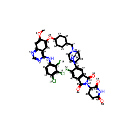 COc1cc2ncnc(Nc3ccc(Cl)c(Cl)c3F)c2cc1OC1CCC(CN2CC3CCC2CN3c2cc3c(cc2F)C(=O)N(C2CCC(=O)NC2=O)C3=O)CC1